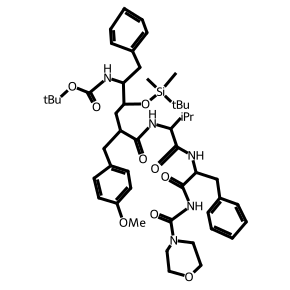 COc1ccc(CC(CC(O[Si](C)(C)C(C)(C)C)C(Cc2ccccc2)NC(=O)OC(C)(C)C)C(=O)NC(C(=O)NC(Cc2ccccc2)C(=O)NC(=O)N2CCOCC2)C(C)C)cc1